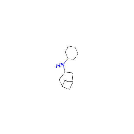 C1CCC(NC2CC3CC(C3)C2)CC1